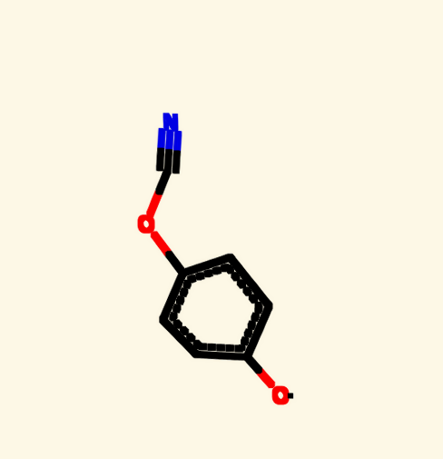 N#COc1ccc([O])cc1